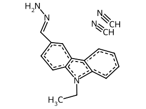 C#N.C#N.CCn1c2ccccc2c2cc(C=NN)ccc21